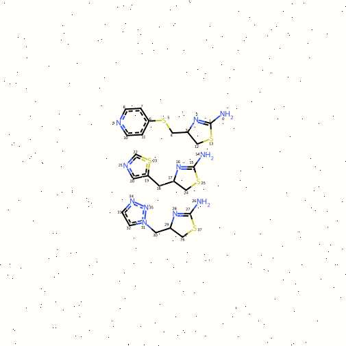 NC1=NC(CSc2ccncc2)CS1.NC1=NC(Cc2cncs2)CS1.NC1=NC(Cn2ccnn2)CS1